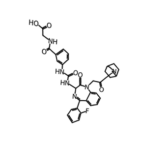 O=C(O)CNC(=O)c1cccc(NC(=O)NC2N=C(c3ccccc3F)c3ccccc3N(CC(=O)N3CC4CCC(CC4)C3)C2=O)c1